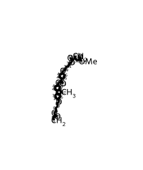 C=CC(=O)OCCCCOc1ccc2c(c1)C(C)c1cc(OC(=O)c3ccc(OCCCCOC(=O)C(=C)CC(=O)OC)cc3)ccc1-2